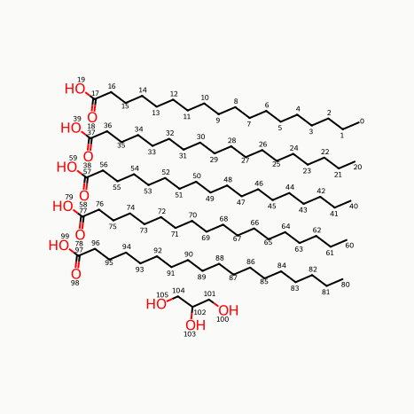 CCCCCCCCCCCCCCCCCC(=O)O.CCCCCCCCCCCCCCCCCC(=O)O.CCCCCCCCCCCCCCCCCC(=O)O.CCCCCCCCCCCCCCCCCC(=O)O.CCCCCCCCCCCCCCCCCC(=O)O.OCC(O)CO